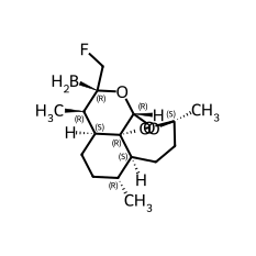 B[C@@]1(CF)O[C@@H]2O[C@]3(C)CC[C@H]4[C@H](C)CC[C@@H]([C@H]1C)[C@@]24OO3